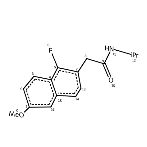 COc1ccc2c(F)c(CC(=O)NC(C)C)ccc2c1